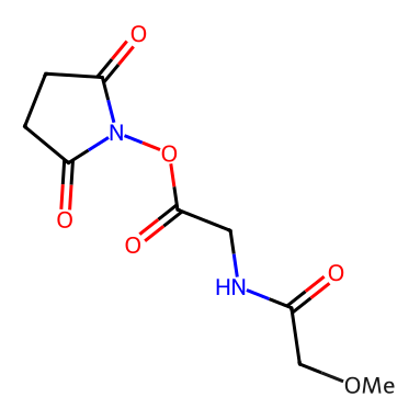 COCC(=O)NCC(=O)ON1C(=O)CCC1=O